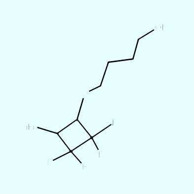 CC(C)C1C(OCCCCO)C(F)(F)C1(F)F